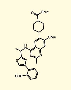 COc1cc2nc(C)nc(N[C@H](C)c3cc(-c4ccccc4C=O)cs3)c2cc1[C@H]1CC[C@H](C(=O)OC)CC1